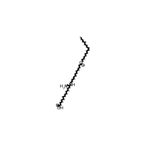 CCCCCCCC/C=C\CCCCCCCCOC(=O)CCCCCCCCCCCCCNC(CN)CCCCCCCCCCCCCC(=O)O